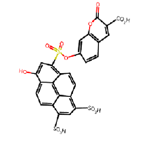 O=C(O)c1cc2ccc(OS(=O)(=O)c3cc(O)c4ccc5c(S(=O)(=O)O)cc(S(=O)(=O)O)c6ccc3c4c56)cc2oc1=O